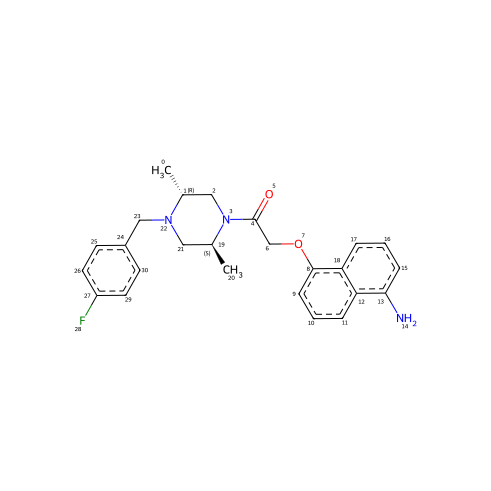 C[C@@H]1CN(C(=O)COc2cccc3c(N)cccc23)[C@@H](C)CN1Cc1ccc(F)cc1